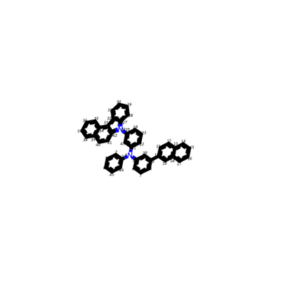 c1ccc(N(c2cccc(-c3ccc4ccccc4c3)c2)c2cccc(-n3c4ccccc4c4c5ccccc5ccc43)c2)cc1